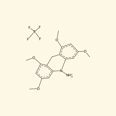 COc1cc(OC)c2c(c1)N([NH3+])c1cc(OC)cc(OC)c1C2.F[B-](F)(F)F